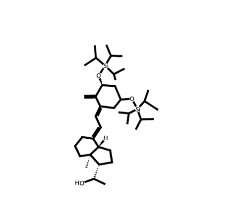 C=C1/C(=C/C=C2CCC[C@]3(C)[C@@H](C(C)O)CC[C@@H]23)CC(O[Si](C(C)C)(C(C)C)C(C)C)C[C@@H]1O[Si](C(C)C)(C(C)C)C(C)C